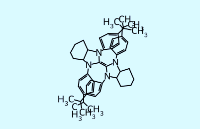 CC(C)c1ccc(N2C(=C3N(c4ccc(C(C)C)cc4)C4CCCCC4N3c3ccc(C(C)C)cc3)N(c3ccc(C(C)C)cc3)C3CCCCC32)cc1